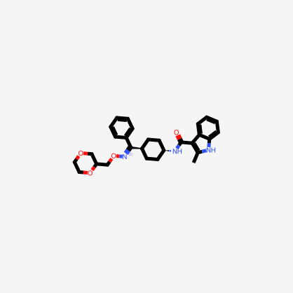 Cc1[nH]c2ccccc2c1C(=O)N[C@H]1CC[C@H](/C(=N/OCC2COCCO2)c2ccccc2)CC1